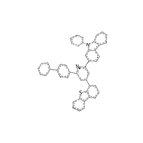 c1ccc(-c2ccc(-c3cc(-c4cccc5c4sc4ccccc45)cc(-c4ccc5c6ccccc6n(-c6ccccc6)c5c4)n3)cc2)cc1